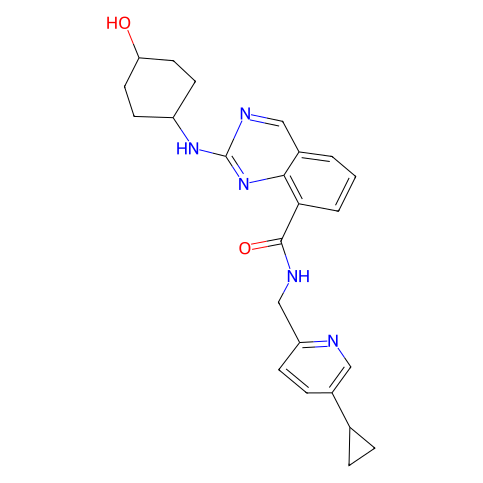 O=C(NCc1ccc(C2CC2)cn1)c1cccc2cnc(NC3CCC(O)CC3)nc12